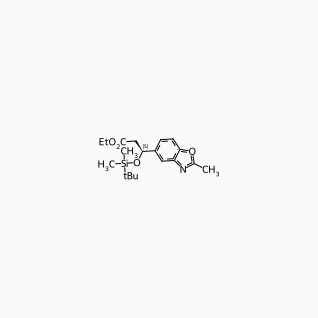 CCOC(=O)C[C@H](O[Si](C)(C)C(C)(C)C)c1ccc2oc(C)nc2c1